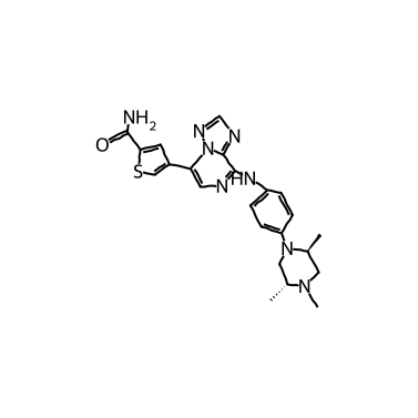 C[C@@H]1CN(c2ccc(Nc3ncc(-c4csc(C(N)=O)c4)n4ncnc34)cc2)[C@@H](C)CN1C